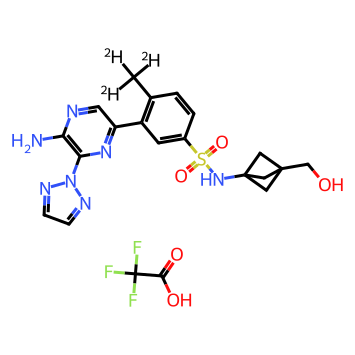 O=C(O)C(F)(F)F.[2H]C([2H])([2H])c1ccc(S(=O)(=O)NC23CC(CO)(C2)C3)cc1-c1cnc(N)c(-n2nccn2)n1